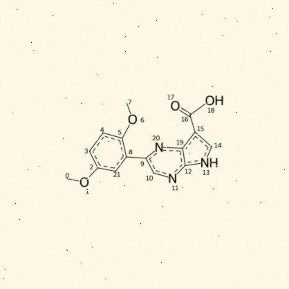 COc1ccc(OC)c(-c2cnc3[nH]cc(C(=O)O)c3n2)c1